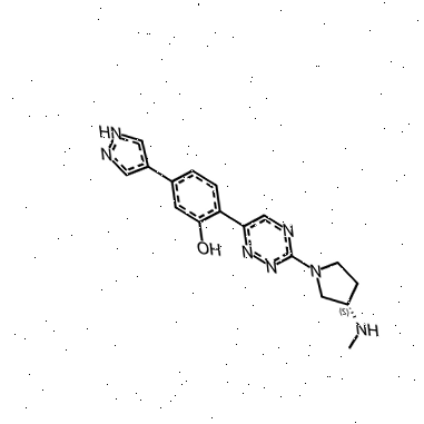 CN[C@H]1CCN(c2ncc(-c3ccc(-c4cn[nH]c4)cc3O)nn2)C1